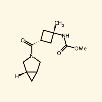 COC(=O)N[C@]1(C)C[C@H](C(=O)N2CC3C[C@@H]3C2)C1